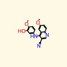 COc1ccc2ncc(C#N)c(Nc3ccc(OC)c(O)c3)c2c1